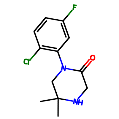 CC1(C)CN(c2cc(F)ccc2Cl)C(=O)CN1